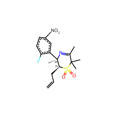 C=CC[C@H]1[C@@](C)(c2cc([N+](=O)[O-])ccc2F)N=C(C)C(C)(C)S1(=O)=O